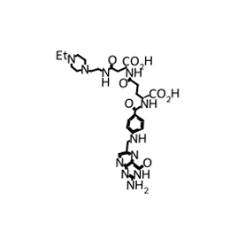 CCN1CCN(CCNC(=O)C[C@H](NC(=O)CC[C@H](NC(=O)c2ccc(NCc3cnc4nc(N)[nH]c(=O)c4n3)cc2)C(=O)O)C(=O)O)CC1